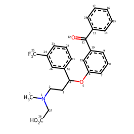 CN(CCC(Oc1cccc(C(=O)c2ccccc2)c1)c1cccc(C(F)(F)F)c1)CC(=O)O